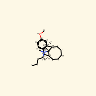 CCCCN(C)[C@H]1[C@H]2CCCCC[C@]1(C)c1cc(OC)ccc1C2